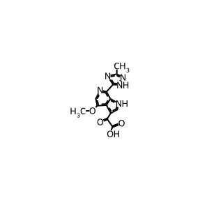 COc1cnc(-c2nc(C)n[nH]2)c2[nH]cc(C(=O)C(=O)O)c12